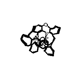 CC12CCC(Cc3cccc4c3[N+]13c1c(ccc5c6ccccc6n(c15)-c1cccc[n+]13)O4)c1ccccc1N2c1ccccc1